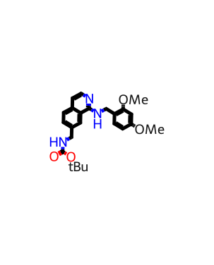 COc1ccc(CNc2nccc3ccc(CNC(=O)OC(C)(C)C)cc23)c(OC)c1